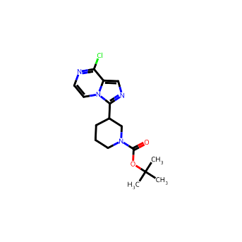 CC(C)(C)OC(=O)N1CCCC(c2ncc3c(Cl)nccn23)C1